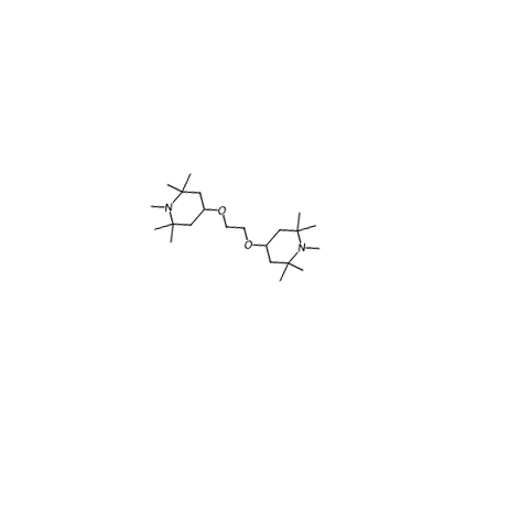 CN1C(C)(C)CC(OCCOC2CC(C)(C)N(C)C(C)(C)C2)CC1(C)C